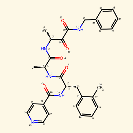 CC(C)[C@H](NC(=O)[C@H](C)NC(=O)[C@H](Cc1ccccc1C(F)(F)F)NC(=O)c1ccncc1)C(=O)C(=O)NCc1ccccc1